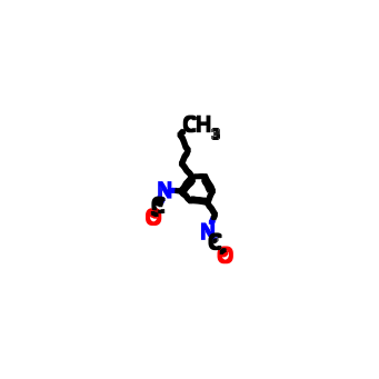 CCCCc1ccc(CN=C=O)cc1N=C=O